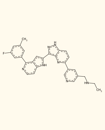 CCNCc1cncc(-c2ccc3[nH]nc(-c4cc5c(-c6cc(C)cc(F)c6)nccc5[nH]4)c3n2)c1